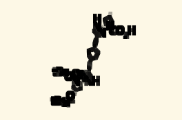 C[C@H]1C[C@@H](c2nc(C#Cc3ccc(C#Cc4c[nH]c([C@@H]5C[C@H](CO[Si](C)(C)C(C)(C)C)CN5C(=O)OC(C)(C)C)n4)cc3)c[nH]2)N(C(=O)O)C1